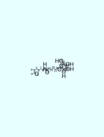 CC(=O)C(C)CCCCNC(=O)CCCCCOC1OC(CO)C(O)C(O)C1O